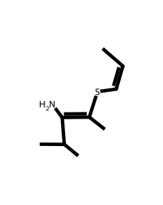 C/C=C\S/C(C)=C(\N)C(C)C